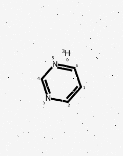 [3H].c1cncnc1